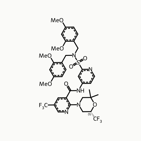 COc1ccc(CN(Cc2ccc(OC)cc2OC)S(=O)(=O)c2cc(NC(=O)c3cc(C(F)(F)F)cnc3N3C[C@@H](C(F)(F)F)OC(C)(C)C3)ccn2)c(OC)c1